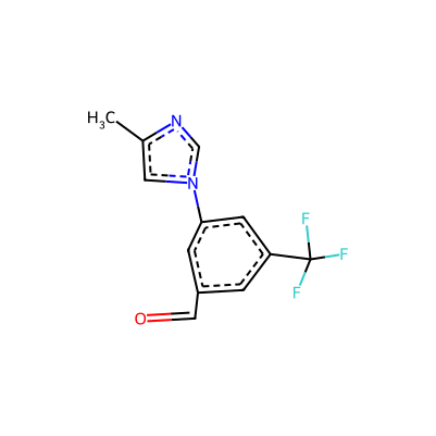 Cc1cn(-c2cc(C=O)cc(C(F)(F)F)c2)cn1